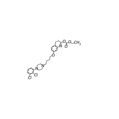 CCOC(=O)OC1=Nc2cc(OCCCCN3CCN(c4cccc(Cl)c4Cl)CC3)ccc2CC1